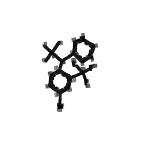 CC(C)(C)C(c1cncnc1)c1ccc(Br)cc1C(F)(F)F